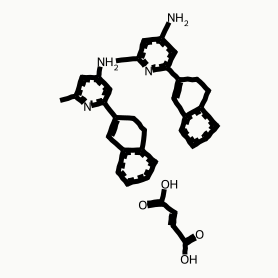 Cc1cc(N)cc(C2=Cc3ccccc3CC2)n1.Cc1cc(N)cc(C2=Cc3ccccc3CC2)n1.O=C(O)/C=C/C(=O)O